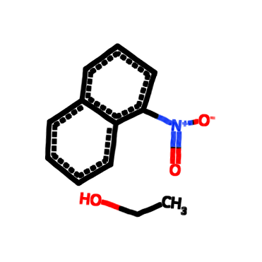 CCO.O=[N+]([O-])c1cccc2ccccc12